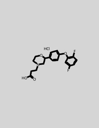 Cl.O=C(O)CCN1CCOC(c2ccc(Oc3cc(F)ccc3F)cc2)C1